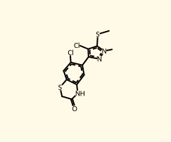 CSc1c(Cl)c(-c2cc3c(cc2Cl)SCC(=O)N3)nn1C